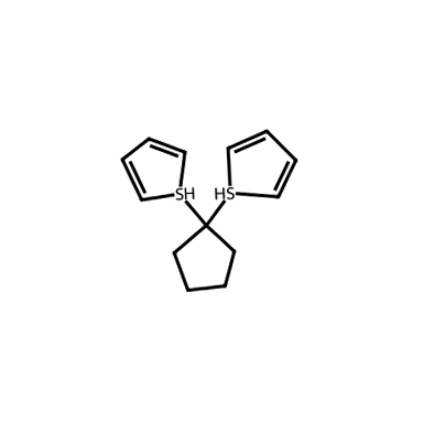 C1=C[SH](C2([SH]3C=CC=C3)CCCC2)C=C1